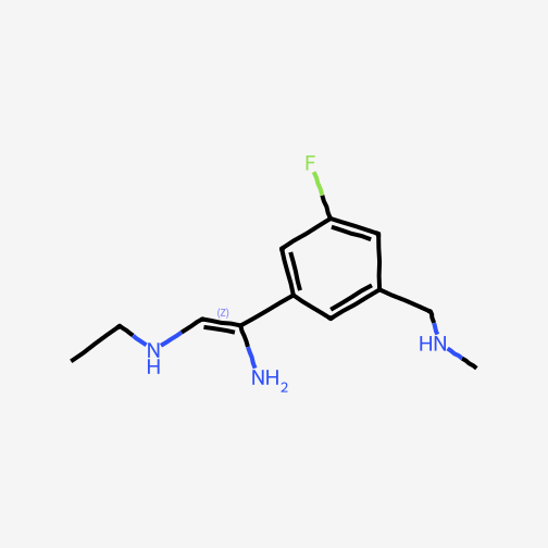 CCN/C=C(\N)c1cc(F)cc(CNC)c1